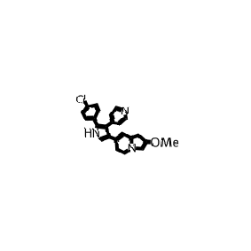 COC1CC2C=C(c3c[nH]c(-c4ccc(Cl)cc4)c3-c3ccncc3)CCN2C1